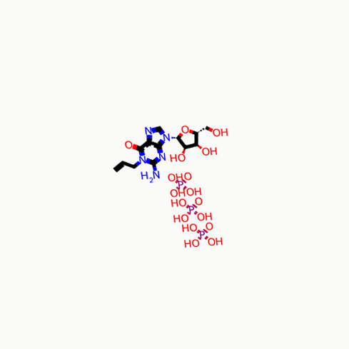 C=CCn1c(N)nc2c(ncn2[C@@H]2O[C@H](CO)[C@@H](O)[C@H]2O)c1=O.O=P(O)(O)O.O=P(O)(O)O.O=P(O)(O)O